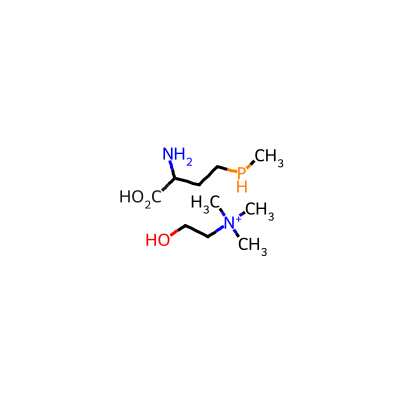 CPCCC(N)C(=O)O.C[N+](C)(C)CCO